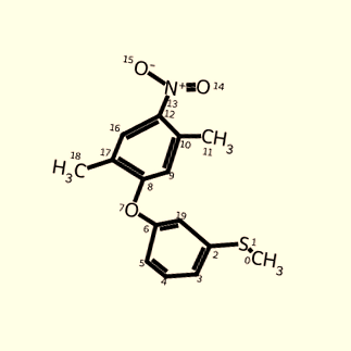 CSc1cccc(Oc2cc(C)c([N+](=O)[O-])cc2C)c1